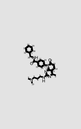 Cc1nc(NCCCN(C)C)nc2c1ccc(=O)n2-c1ccc(C(=O)NCc2ccccc2)cc1